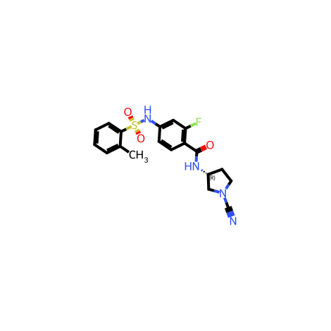 Cc1ccccc1S(=O)(=O)Nc1ccc(C(=O)N[C@@H]2CCN(C#N)C2)c(F)c1